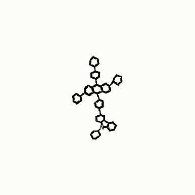 c1ccc(-c2ccc(-c3c4ccc(-c5ccccc5)cc4c(-c4ccc(-c5ccc6c(c5)c5ccccc5n6-c5ccccc5)cc4)c4ccc(-c5ccccc5)cc34)cc2)cc1